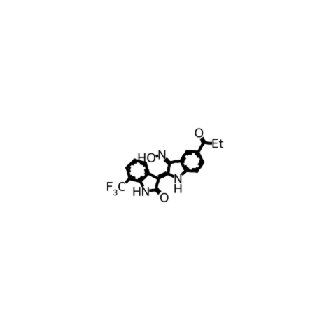 CCC(=O)c1ccc2c(c1)C(=N/O)/C(=C1/C(=O)Nc3c1cccc3C(F)(F)F)N2